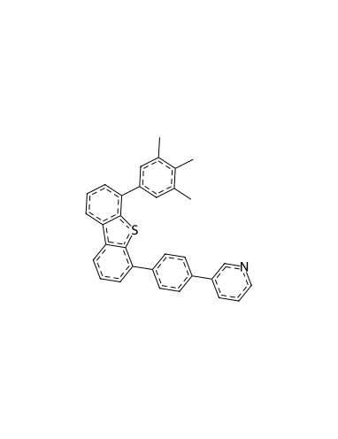 Cc1cc(-c2cccc3c2sc2c(-c4ccc(-c5cccnc5)cc4)cccc23)cc(C)c1C